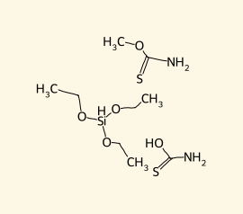 CCO[SiH](OCC)OCC.COC(N)=S.NC(O)=S